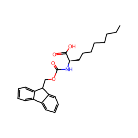 CCCCCCCC[C@@H](NC(=O)OCC1c2ccccc2-c2ccccc21)C(=O)O